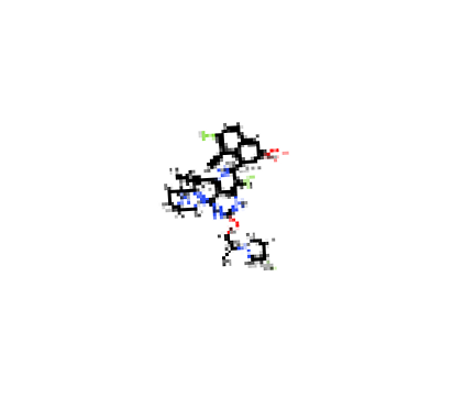 C#Cc1c(F)ccc2cc(O)cc(-c3nc(C#CC)c4c(N5C[C@H]6CC[C@@H](C5)N6)nc(OC[C@H](C)N5CC[C@H](F)C5)nc4c3F)c12